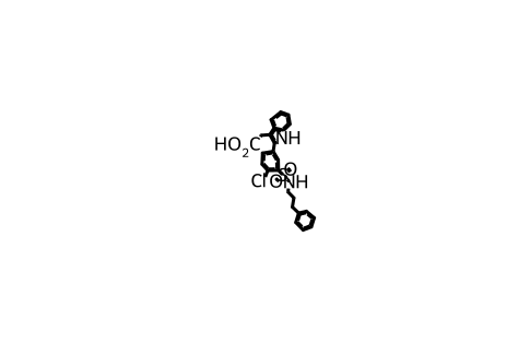 O=C(O)Cc1c(-c2ccc(Cl)c(S(=O)(=O)NCCCc3ccccc3)c2)[nH]c2ccccc12